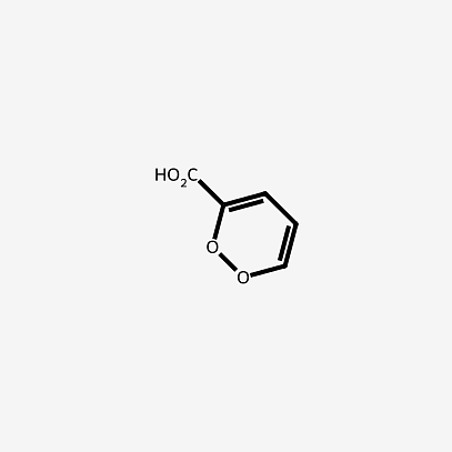 O=C(O)C1=CC=COO1